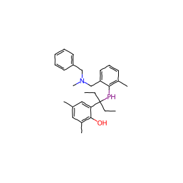 CCC(CC)(Pc1c(C)cccc1CN(C)Cc1ccccc1)c1cc(C)cc(C)c1O